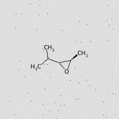 CC(C)C1O[C@@H]1C